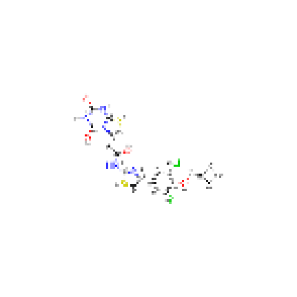 Cn1c(=O)nc2scc(CC(=O)Nc3nc(-c4cc(Cl)c(OCC5CCC5)c(Cl)c4)cs3)n2c1=O